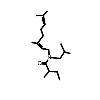 CCC(C)C(=O)N(C/C=C(/C)CCC=C(C)C)CC(C)C